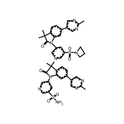 Cc1ncc(-c2ccc3c(c2)N(c2cncc(S(=O)(=O)N4CCC4)c2)C(=O)C3(C)C)cn1.Cc1ncc(-c2ccc3c(c2)N(c2cncc(S(N)(=O)=O)c2)C(=O)C3(C)C)cn1